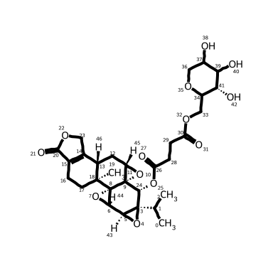 CC(C)[C@]12O[C@H]1[C@@H]1O[C@]13[C@]1(O[C@H]1C[C@H]1C4=C(CC[C@@]13C)C(=O)OC4)[C@@H]2OC(=O)CCC(=O)OCC1OCC(O)C(O)[C@@H]1O